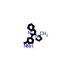 C[C@H]1CCCN1c1cc2ccccc2nc1-c1ccc2[nH]ncc2c1